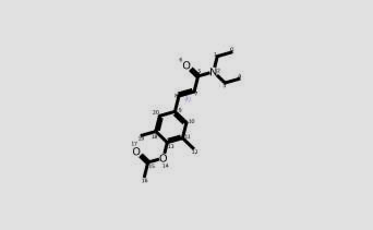 CCN(CC)C(=O)/C=C/c1cc(C)c(OC(C)=O)c(C)c1